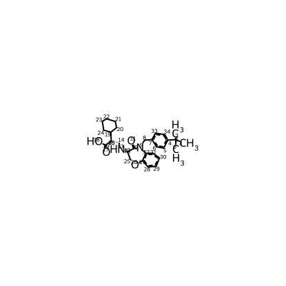 CC(C)(C)c1ccc(CN2C(=O)[C@@H](NC[C@H](C(=O)O)C3CCCCC3)COc3ccccc32)cc1